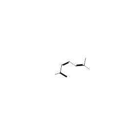 BC(=C)/C=C\C=C(C)C